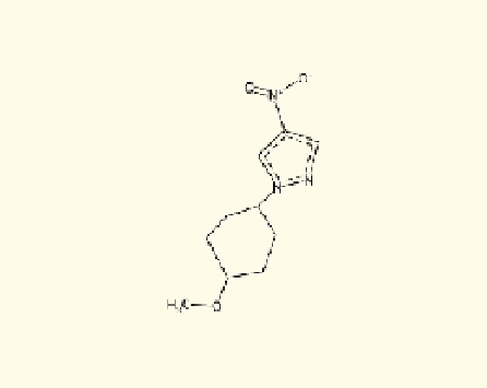 COC1CCC(n2cc([N+](=O)[O-])cn2)CC1